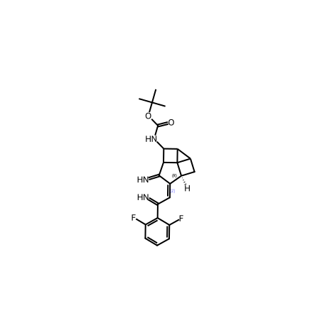 CC(C)(C)OC(=O)NC1C2C(=N)/C(=C\C(=N)c3c(F)cccc3F)[C@@H]3CC4C1C423